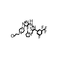 CC1CCCN1Cc1sc(Nc2ncnc(N3CCN(CCC=O)CC3)c2F)nc1-c1cc(F)cc(C(F)(F)F)c1